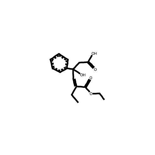 CCOC(=O)C(=CC(O)(CC(=O)O)c1ccccc1)CC